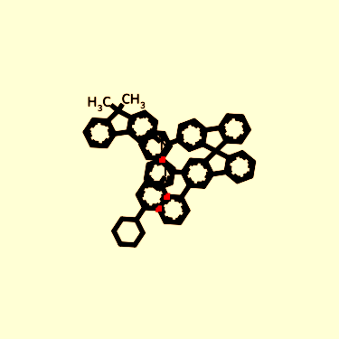 CC1(C)c2ccccc2-c2cc(N(c3ccccc3)c3ccc4c(c3)C3(c5ccccc5-4)c4ccccc4-c4cc(-c5ccccc5)c(N(c5ccccc5)c5ccc(C6CCCCC6)cc5)cc43)ccc21